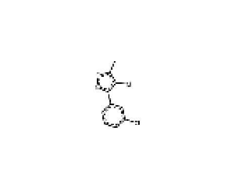 [CH2]c1onc(-c2cccc(Cl)c2)c1Cl